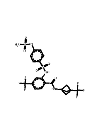 CS(=O)(=O)Oc1ccc(S(=O)(=O)Nc2cc(C(F)(F)F)ccc2C(=O)NC23CC(C(F)(F)F)(C2)C3)cc1